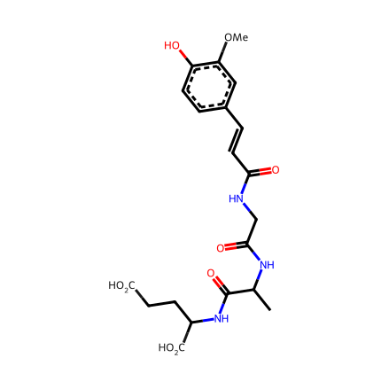 COc1cc(/C=C/C(=O)NCC(=O)NC(C)C(=O)NC(CCC(=O)O)C(=O)O)ccc1O